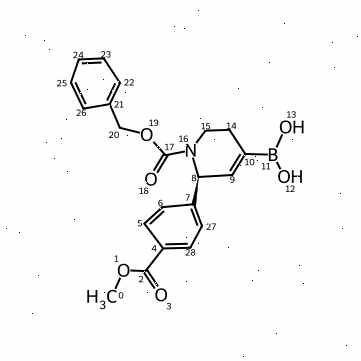 COC(=O)c1ccc([C@@H]2C=C(B(O)O)CCN2C(=O)OCc2ccccc2)cc1